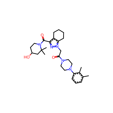 Cc1cccc(N2CCN(C(=O)Cn3nc(C(=O)N4CCC(O)CC4(C)C)c4c3CCCC4)CC2)c1C